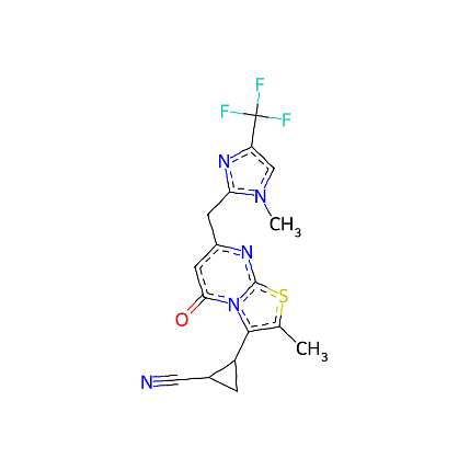 Cc1sc2nc(Cc3nc(C(F)(F)F)cn3C)cc(=O)n2c1C1CC1C#N